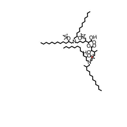 CCCCCCCCCCC(C)CN(CCCC(C)C(O)C(=O)OC(C(=O)O)C(C)CCCN(CC(CCCCCCCCCC)O[Si](C)(C)C)CC(CCCCCCCCCC)O[Si](C)(C)C)CC(CCCCCCCCCC)O[Si](C)(C)C